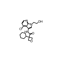 O=C(Nc1cn(CCO)c2nccc(Cl)c12)C1(C2CCCCC2)COC1